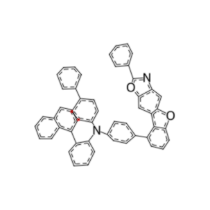 c1ccc(-c2ccc(N(c3ccc(-c4cccc5oc6cc7nc(-c8ccccc8)oc7cc6c45)cc3)c3ccccc3-c3cccc4ccccc34)cc2)cc1